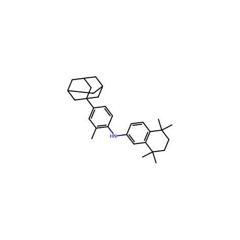 Cc1cc(C23CC4CC(CC(C4)C2)C3)ccc1Nc1ccc2c(c1)C(C)(C)CCC2(C)C